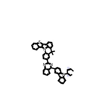 C/C=C\C(=C/C)n1c2ccccc2c2cc(-c3nc(-c4ccc5c(c4)C(C)(C)c4cccc6c7sc8ccccc8c7n-5c46)nc4ccccc34)ccc21